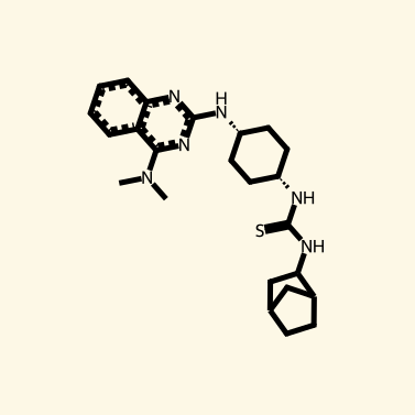 CN(C)c1nc(N[C@H]2CC[C@@H](NC(=S)NC3CC4CCC3C4)CC2)nc2ccccc12